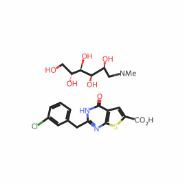 CNC[C@H](O)[C@@H](O)[C@H](O)[C@H](O)CO.O=C(O)c1cc2c(=O)[nH]c(Cc3cccc(Cl)c3)nc2s1